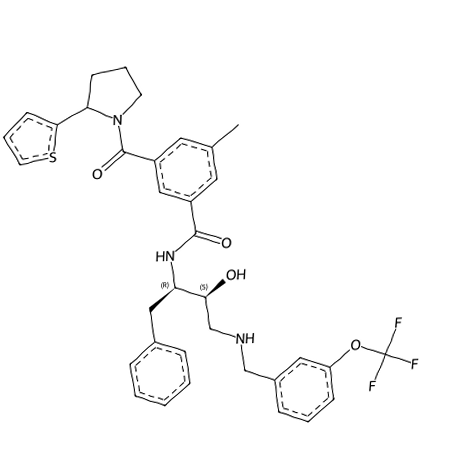 Cc1cc(C(=O)N[C@H](Cc2ccccc2)[C@@H](O)CNCc2cccc(OC(F)(F)F)c2)cc(C(=O)N2CCCC2c2cccs2)c1